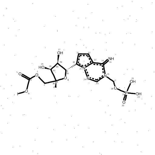 C[C@]1(COC(=O)OI)O[C@@H](c2ccc3c(=N)n(COP(=O)(O)O)cnn23)[C@H](O)[C@@H]1O